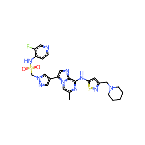 Cc1cn2c(-c3cnn(CS(=O)(=O)Nc4ccncc4F)c3)cnc2c(Nc2cc(CN3CCCCC3)ns2)n1